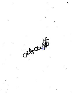 O=C(ONC/C(=C\F)COc1ccc(-c2nc3ccc(Cl)cc3s2)cc1)C(F)(F)F